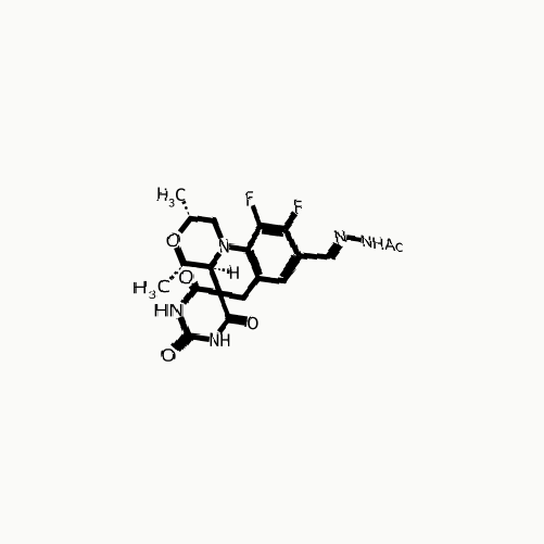 CC(=O)N/N=C/c1cc2c(c(F)c1F)N1C[C@@H](C)O[C@@H](C)[C@@H]1C1(C2)C(=O)NC(=O)NC1=O